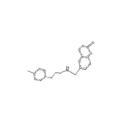 Cc1ccc(OCCNCc2ccc3oc(=O)ccc3c2)cc1